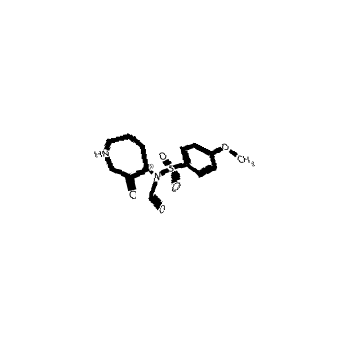 COc1ccc(S(=O)(=O)N([C]=O)[C@H]2CCCNCC2=O)cc1